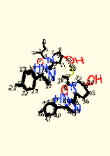 CCC(C)C(=O)N1CCC(O)CC1c1ncc(-c2ccc(C)cc2)[nH]1.CSC(C)C(=O)N1CC(O)CCC1c1ncc(-c2ccc(C)cc2)[nH]1